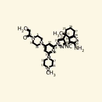 C=CC(=O)N1CCN(c2cc(N3CCN(C)CC3)nc(-n3cc(C4(C)CCCc5sc(N)c(C#N)c54)cn3)c2)CC1